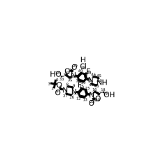 CC(C)(C)OC(=O)N1CCN(c2ccc(N3C[C@H](CO)OC3=O)cc2F)CC1.Cl.O=C1O[C@@H](CO)CN1c1ccc(N2CCNCC2)c(F)c1